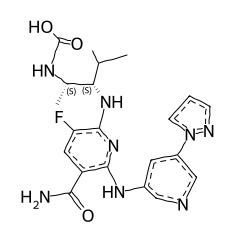 CC(C)[C@H](Nc1nc(Nc2cncc(-n3cccn3)c2)c(C(N)=O)cc1F)[C@H](C)NC(=O)O